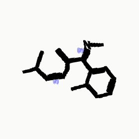 C=C(/C=C\C(C)C)/C(=N/C)c1ccccc1C